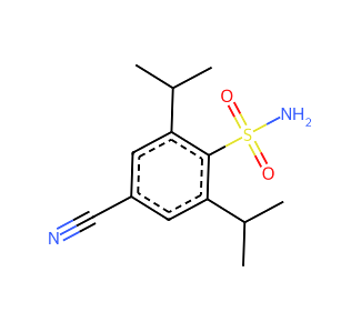 CC(C)c1cc(C#N)cc(C(C)C)c1S(N)(=O)=O